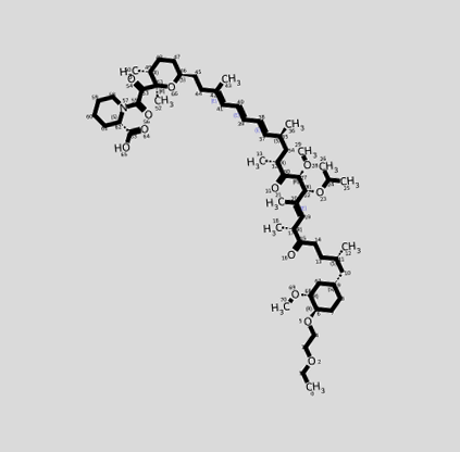 CCOCCO[C@@H]1CC[C@@H](C[C@@H](C)CCC(=O)[C@H](C)/C=C(\C)[C@@H](OC(C)C)[C@@H](OC)C(=O)[C@H](C)C[C@H](C)/C=C/C=C/C=C(\C)CC[C@@H]2CC[C@@H](C)[C@](C)(C(=O)C(=O)N3CCCC[C@H]3C(=O)O)O2)C[C@H]1OC